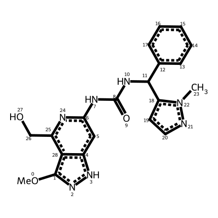 COc1n[nH]c2cc(NC(=O)NC(c3ccccc3)c3ccnn3C)nc(CO)c12